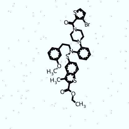 CCOC(=O)c1sc2ccc(SN(CCc3cccc(OC)c3)c3ccccc3N3CCN(C(=O)c4sccc4Br)CC3)cc2c1C